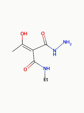 CCNC(=O)/C(C(=O)NN)=C(\C)O